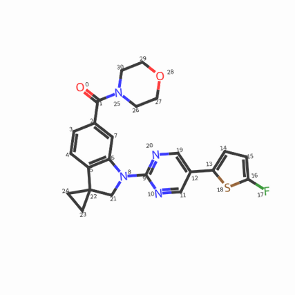 O=C(c1ccc2c(c1)N(c1ncc(-c3ccc(F)s3)cn1)CC21CC1)N1CCOCC1